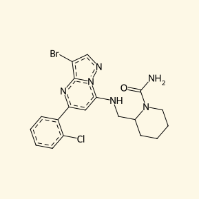 NC(=O)N1CCCCC1CNc1cc(-c2ccccc2Cl)nc2c(Br)cnn12